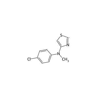 CN(c1ccc(Cl)cc1)c1cs[c]n1